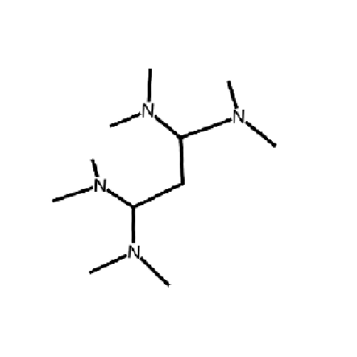 CN(C)C(CC(N(C)C)N(C)C)N(C)C